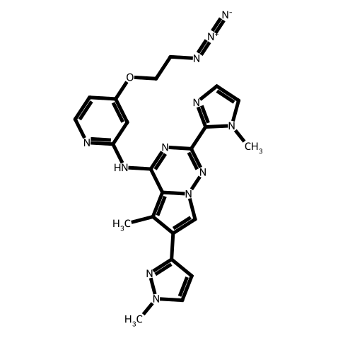 Cc1c(-c2ccn(C)n2)cn2nc(-c3nccn3C)nc(Nc3cc(OCCN=[N+]=[N-])ccn3)c12